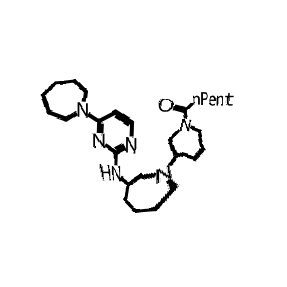 CCCCCC(=O)N1CCCC(N2CCCCC(Nc3nccc(N4CCCCCC4)n3)C2)C1